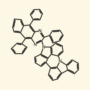 c1ccc(-c2nc3c(-c4ccccc4)c4ccccc4c(-c4ccccc4)c3nc2-n2c3cccc4c5cccc6c7ccccc7n(c7cccc2c7c43)c56)cc1